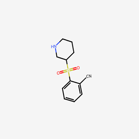 N#Cc1ccccc1S(=O)(=O)C1CCCNC1